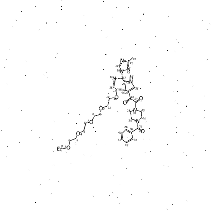 CCOCCOCCOCCOCCOc1cnc(-n2cnc(C)n2)c2[nH]cc(C(=O)C(=O)N3CCN(C(=O)c4ccccc4)CC3)c12